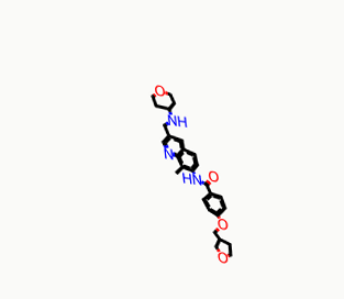 Cc1c(NC(=O)c2ccc(OCC3CCOC3)cc2)ccc2cc(CNC3CCOCC3)cnc12